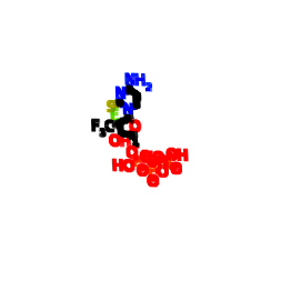 Nc1ccn([C@@H]2O[C@H](COP(=O)(O)OP(=O)(O)OP(=O)(O)O)C(O)[C@]2(F)C(F)(F)F)c(=S)n1